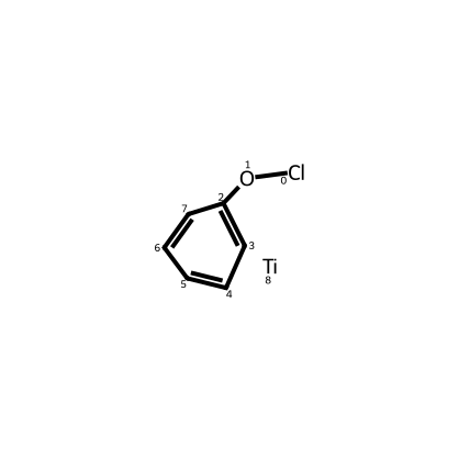 ClOc1ccccc1.[Ti]